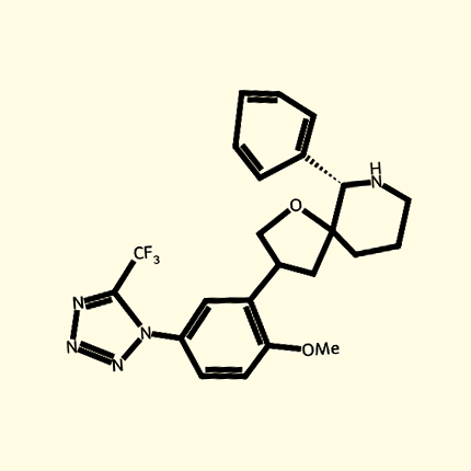 COc1ccc(-n2nnnc2C(F)(F)F)cc1C1COC2(CCCN[C@H]2c2ccccc2)C1